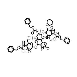 CN1C(=O)OC2C3O[C@H](O[C@@H]4C(N)C[C@@H](NC(=O)OCc5ccccc5)[C@H]5OC6(CCCCC6)OC45)[C@@H](NC(=O)OCc4ccccc4)C[C@@H]3OC(O[C@H]3OC(CO)[C@@H](NC(=O)OCc4ccccc4)[C@@H]4OC34)C21